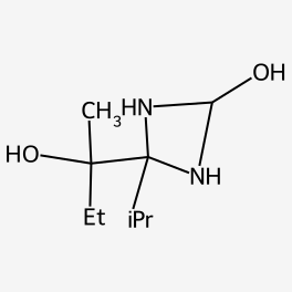 CCC(C)(O)C1(C(C)C)NC(O)N1